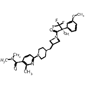 COc1cccc([C@@](O)(C(=O)N2CC(CC3CCN(c4ccc(C(=O)N(C)C)c(C)n4)CC3)C2)C(F)(F)F)c1